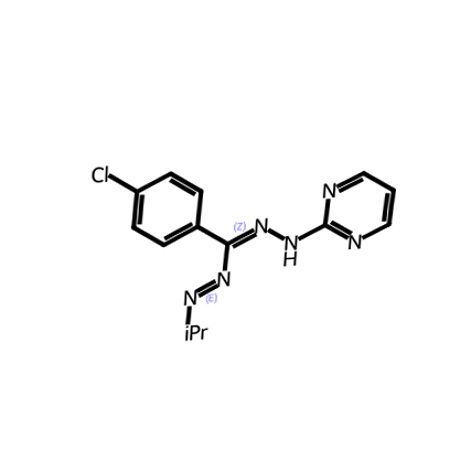 CC(C)/N=N/C(=N\Nc1ncccn1)c1ccc(Cl)cc1